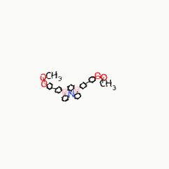 CC1OC1Oc1ccc(-c2ccc(B3c4ccccc4N4c5ccccc5B(c5ccc(-c6ccc(OC7OC7C)cc6)cc5)c5cccc3c54)cc2)cc1